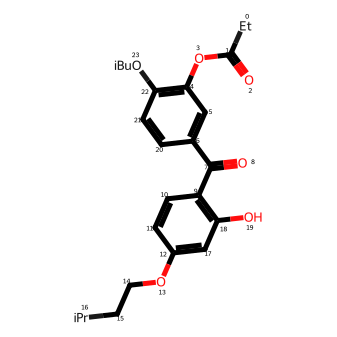 CCC(=O)Oc1cc(C(=O)c2ccc(OCCC(C)C)cc2O)ccc1OCC(C)C